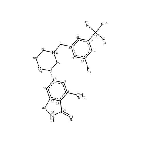 Cc1cc([C@H]2CN(Cc3cc(F)cc(C(F)(F)F)c3)CCO2)cc2c1C(=O)NC2